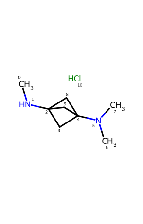 CNC12CC(N(C)C)(C1)C2.Cl